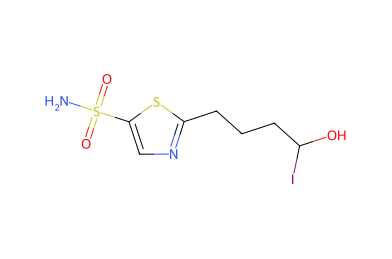 NS(=O)(=O)c1cnc(CCCC(O)I)s1